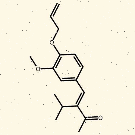 C=CCOc1ccc(/C=C(/C(C)=O)C(C)C)cc1OC